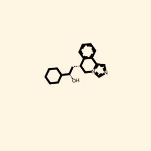 O[C@@H](C[C@H]1Cn2cncc2-c2ccccc21)C1CCCCC1